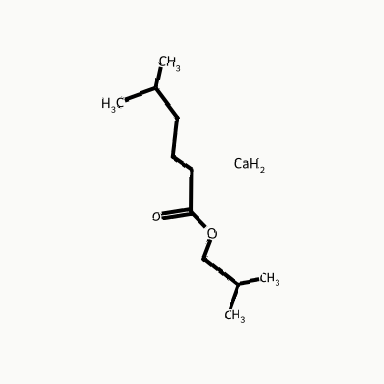 CC(C)CCCC(=O)OCC(C)C.[CaH2]